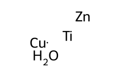 O.[Cu].[Ti].[Zn]